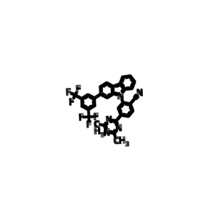 Cc1nc(C)nc(-c2ccc(C#N)c(-n3c4ccccc4c4ccc(-c5cc(C(F)(F)F)cc(C(F)(F)F)c5)cc43)c2)n1